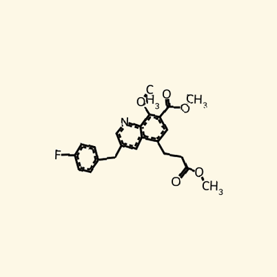 COC(=O)CCc1cc(C(=O)OC)c(OC)c2ncc(Cc3ccc(F)cc3)cc12